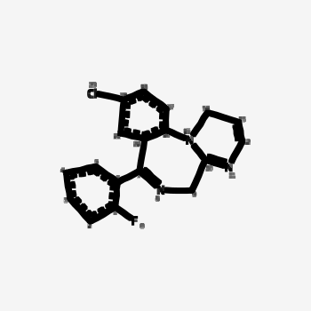 Fc1ccccc1C1=NCC2=NC=CCN2c2ccc(Cl)cc21